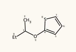 CCC(C)Oc1cc[c]s1